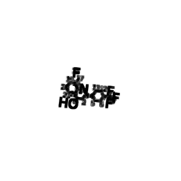 Oc1cc(-c2ccc(C(F)(F)F)cc2)nc2c(CF)cccc12